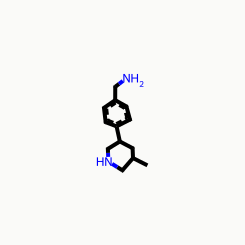 CC1CNCC(c2ccc(CN)cc2)C1